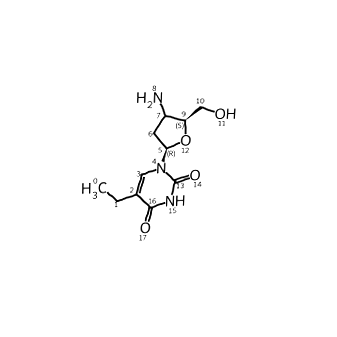 CCc1cn([C@H]2CC(N)[C@@H](CO)O2)c(=O)[nH]c1=O